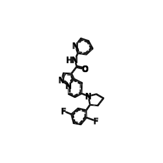 O=C(Nc1ccccn1)c1cnn2ccc(N3CCCC3c3cc(F)ccc3F)cc12